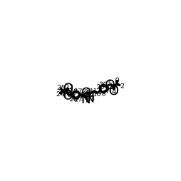 C=C(C)C(=O)Oc1ccc(/C=C/c2nnc(-c3ccc(OC(=O)C(=C)C)cc3)o2)cc1